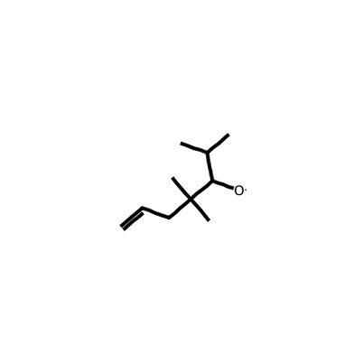 C=CCC(C)(C)C([O])C(C)C